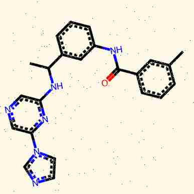 Cc1cccc(C(=O)Nc2cccc(C(C)Nc3cncc(-n4ccnc4)n3)c2)c1